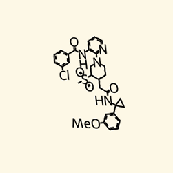 COc1cccc(C2(NC(=O)CC3CCN(c4ncccc4NC(=O)c4cccc(Cl)c4)CC3S(C)(=O)=O)CC2)c1